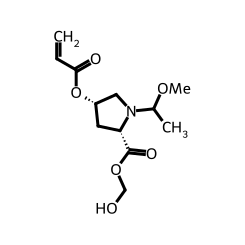 C=CC(=O)O[C@H]1C[C@@H](C(=O)OCO)N(C(C)OC)C1